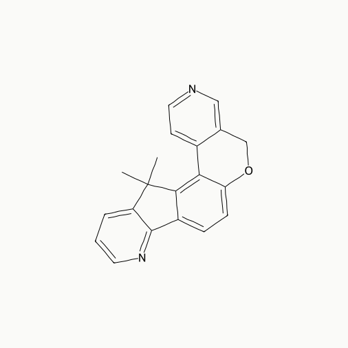 CC1(C)c2cccnc2-c2ccc3c(c21)-c1ccncc1CO3